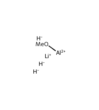 C[O][Al+2].[H-].[H-].[H-].[Li+]